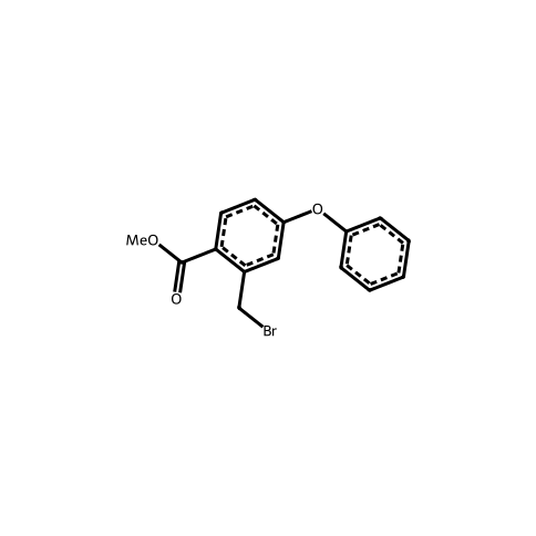 COC(=O)c1ccc(Oc2ccccc2)cc1CBr